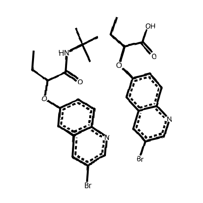 CCC(Oc1ccc2ncc(Br)cc2c1)C(=O)NC(C)(C)C.CCC(Oc1ccc2ncc(Br)cc2c1)C(=O)O